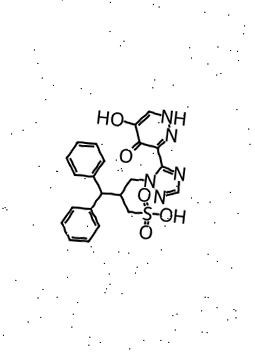 O=c1c(O)c[nH]nc1-c1ncnn1CC(CS(=O)(=O)O)C(c1ccccc1)c1ccccc1